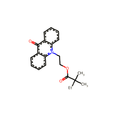 CCC(C)(C)C(=O)OCCn1c2ccccc2c(=O)c2ccccc21